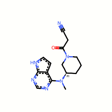 CN(c1ncnc2[nH]ccc12)[C@@H]1CCCN(C(=O)CC#N)C1